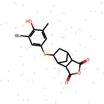 Cc1cc(SC2CC3CC2C2C(=O)OC(=O)C32)cc(C(C)(C)C)c1O